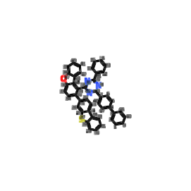 c1ccc(-c2ccc(-c3nc(-c4ccccc4)nc(-c4c(-c5ccc6c(c5)sc5ccccc56)ccc5oc6ccccc6c45)n3)cc2)cc1